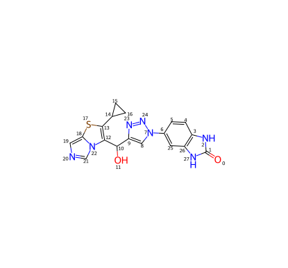 O=c1[nH]c2ccc(-n3cc(C(O)c4c(C5CC5)sc5cncn45)nn3)cc2[nH]1